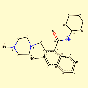 CC(C)N1CCN(Cc2c(C#N)cc3ccccc3c2C(=O)NC2CCCCC2)CC1